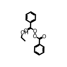 CCO.O=C(OOC(=O)c1ccccc1)c1ccccc1